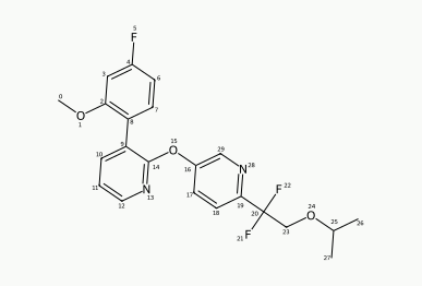 COc1cc(F)ccc1-c1cccnc1Oc1ccc(C(F)(F)COC(C)C)nc1